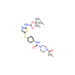 CC(=O)N1CCN(C(=O)Nc2ccc(Sc3cnc(NC(=O)OC(C)(C)C)s3)cc2)CC1